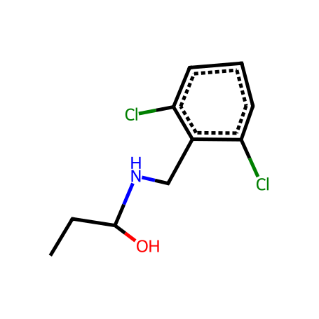 CCC(O)NCc1c(Cl)cccc1Cl